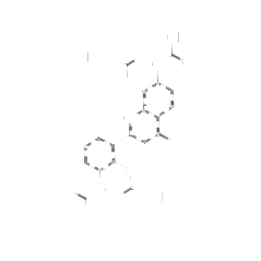 CC(=O)Oc1cccc(-c2cc(=O)c3ccc(OC(C)=O)c(OC(C)=O)c3o2)c1OC(C)=O